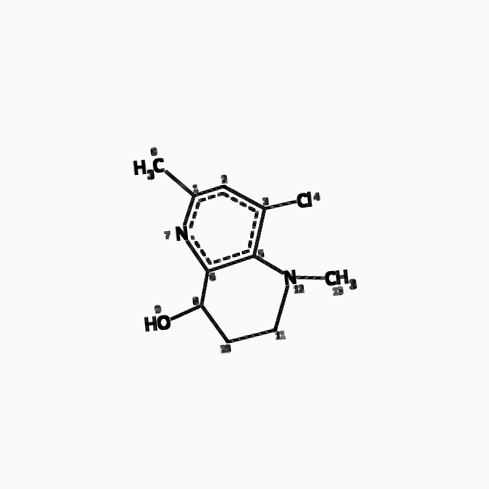 Cc1cc(Cl)c2c(n1)C(O)CCN2C